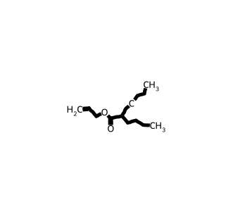 C=CCOC(=O)C(CCCC)CCCCC